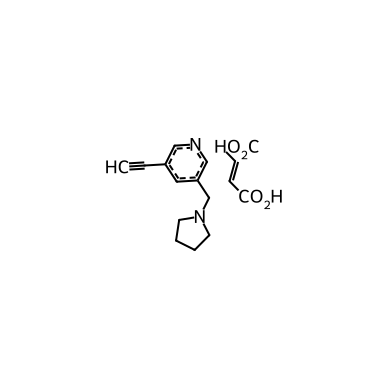 C#Cc1cncc(CN2CCCC2)c1.O=C(O)C=CC(=O)O